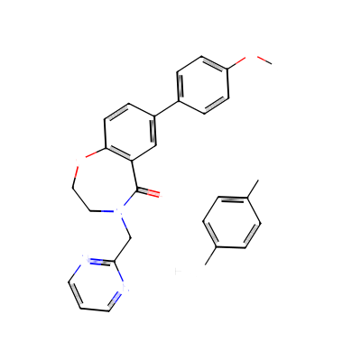 Cc1ccc(S(=O)(=O)O)cc1.O=C1c2cc(-c3ccc(OC(F)(F)F)cc3)ccc2OCCN1Cc1ncccn1